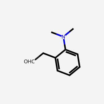 CN(C)c1ccccc1CC=O